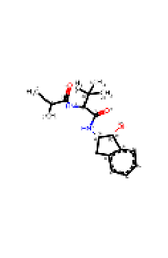 CC(C)C(=O)NC(C(=O)N[C@H]1Cc2ccccc2[C@H]1O)C(C)(C)C